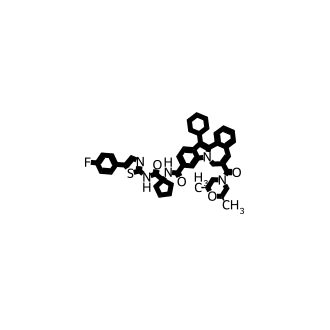 C[C@@H]1CN(C(=O)C2=Cc3ccccc3-c3c(C4CCCCC4)c4ccc(C(=O)NC5(C(=O)Nc6ncc(-c7ccc(F)cc7)s6)CCCC5)cc4n3C2)C[C@H](C)O1